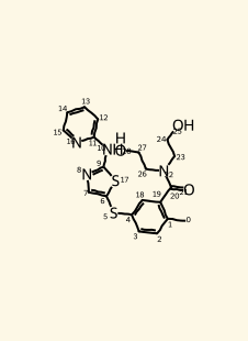 Cc1ccc(Sc2cnc(Nc3ccccn3)s2)cc1C(=O)N(CCO)CCO